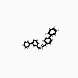 [C](=N/OCc1ccc(-c2ccccc2)cc1)/c1cccc(C2CCCCC2)c1